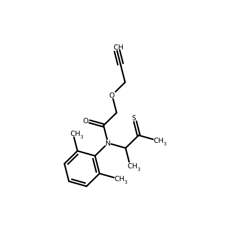 C#CCOCC(=O)N(c1c(C)cccc1C)C(C)C(C)=S